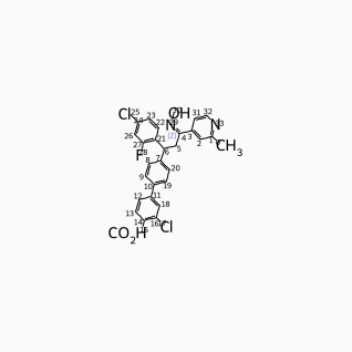 Cc1cc(/C(CC(c2ccc(-c3ccc(C(=O)O)c(Cl)c3)cc2)c2ccc(Cl)cc2F)=N\O)ccn1